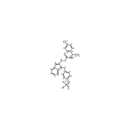 CC(NC(=O)CSc1nc2cccnc2n1Cc1ccc(OC(F)(F)F)cc1)c1ccc(Cl)cc1